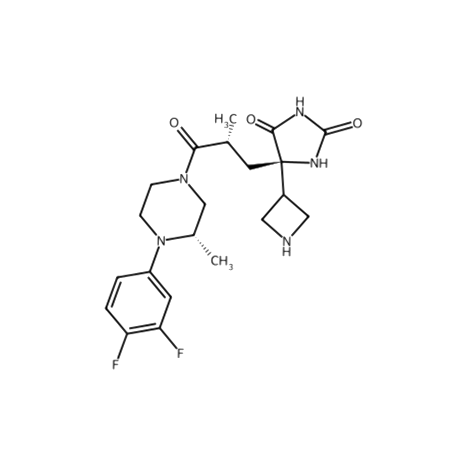 C[C@H](C[C@]1(C2CNC2)NC(=O)NC1=O)C(=O)N1CCN(c2ccc(F)c(F)c2)[C@@H](C)C1